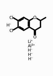 CC1CC(=O)c2cc(Cl)c(Cl)cc2O1.[Al+3].[H-].[H-].[H-].[H-].[Li+]